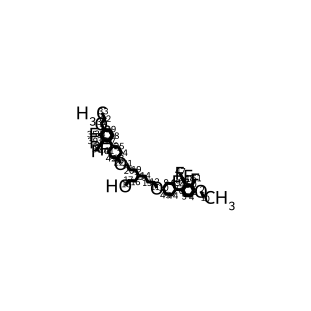 CCOc1ccc(C2CCC(OCCCC(CCO)CCCOC3CCC(c4ccc(OCC)c(F)c4C(F)(F)F)CC3)CC2)c(C(F)(F)F)c1F